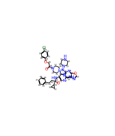 Nc1nc2c(c([N+]3(N(c4ncc5ncoc5n4)N4CCNCC4)CCN(C(=O)COc4ccc(Cl)cc4)CC3)n1)NC(CCc1ccccc1)(C1CC1)O2